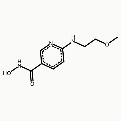 COCCNc1ccc(C(=O)NO)cn1